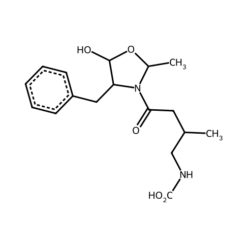 CC(CNC(=O)O)CC(=O)N1C(C)OC(O)C1Cc1ccccc1